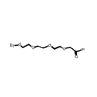 CCOCCOCCOCCOCC(=O)C(C)C